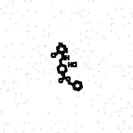 Cl.O=C(OCc1ccccc1)N1CCC(CNc2ncncc2Cl)CC1